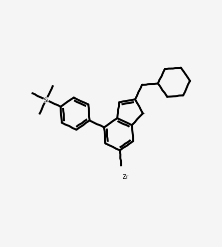 Cc1cc2c(c(-c3ccc([Si](C)(C)C)cc3)c1)C=C(CC1CCCCC1)[CH]2.[Zr]